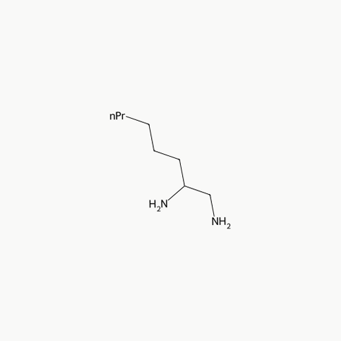 CCCCCCC(N)CN